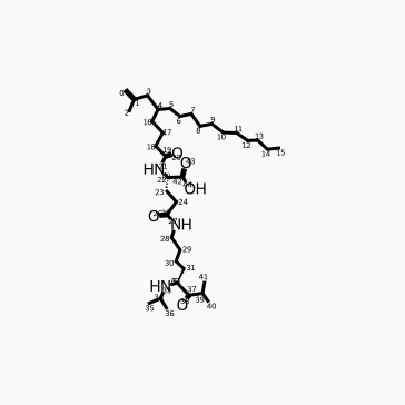 C=C(C)CC(CCCCCCCCCCC)CCCC(=O)N[C@@H](CCC(=O)NCCCC[C@H](NC(C)C)C(=O)C(C)C)C(=O)O